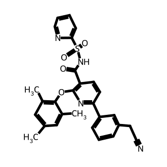 Cc1cc(C)c(Oc2nc(-c3cccc(CC#N)c3)ccc2C(=O)NS(=O)(=O)c2ccccn2)c(C)c1